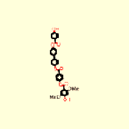 COc1cc(C(=O)Oc2ccc(C(=O)Oc3ccc(-c4ccc(OC(=O)c5ccc(O)cc5)cc4)cc3)cc2)c(OC)cc1O